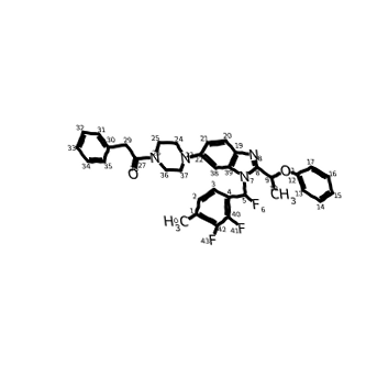 Cc1ccc(C(F)n2c(C(C)Oc3ccccc3)nc3ccc(N4CCN(C(=O)Cc5ccccc5)CC4)cc32)c(F)c1F